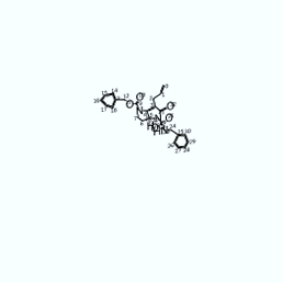 C=CCC1=C2[C@H](CCN2C(=O)OCc2ccccc2)N(S(=O)(=O)NCc2ccccc2)C1=O